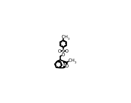 Cc1ccc(S(=O)(=O)OCC2c3ccc(cc3)-c3nc2c(C)o3)cc1